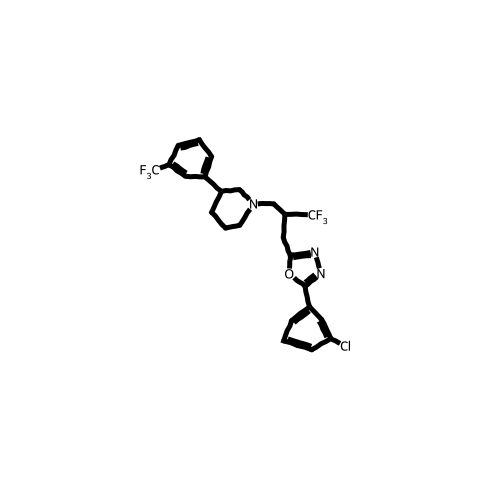 FC(F)(F)c1cccc(C2CCCN(CC(Cc3nnc(-c4cccc(Cl)c4)o3)C(F)(F)F)C2)c1